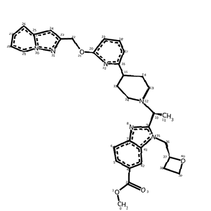 COC(=O)c1ccc2nc([C@H](C)N3CCC(c4cccc(OCc5cc6ccccn6n5)n4)CC3)n(C[C@@H]3CCO3)c2c1